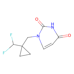 O=c1ccn(CC2(C(F)F)CC2)c(=O)[nH]1